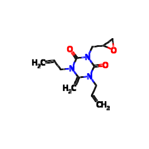 C=CCN1C(=C)N(CC=C)C(=O)N(CC2CO2)C1=O